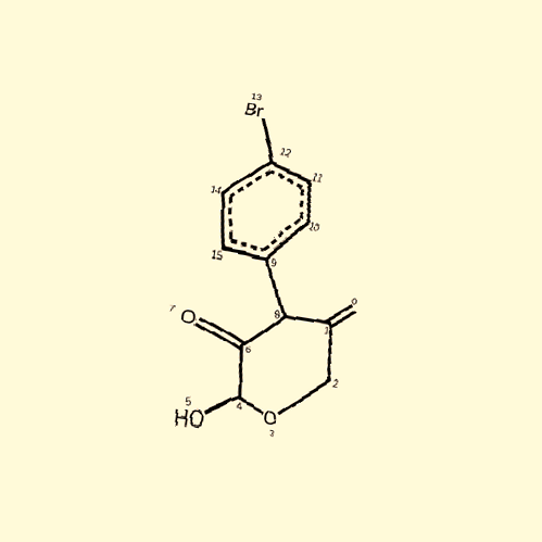 C=C1COC(O)C(=O)C1c1ccc(Br)cc1